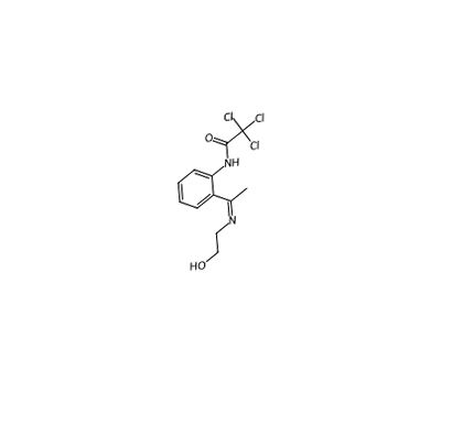 C/C(=N/CCO)c1ccccc1NC(=O)C(Cl)(Cl)Cl